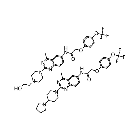 Cc1nc(N2CCC(N3CCCC3)CC2)nc2ccc(NC(=O)COc3ccc(OC(F)(F)F)cc3)cc12.Cc1nc(N2CCN(CCO)CC2)nc2ccc(NC(=O)COc3ccc(OC(F)(F)F)cc3)cc12